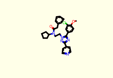 COc1ccc(-c2nc(-c3ccncc3)nn2CCN(C(=O)Cc2ccccc2)C2CCCC2)cc1Cl